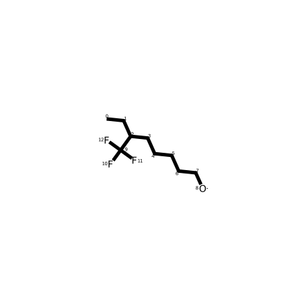 CCC(CCCCC[O])C(F)(F)F